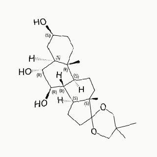 CC1(C)COC2(CC[C@H]3[C@@H]4[C@@H](O)[C@H](O)[C@H]5C[C@@H](O)CC[C@]5(C)[C@H]4CC[C@@]32C)OC1